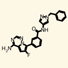 Nc1ncnn2c(-c3cccc(C(=O)Nc4cnn(Cc5ccccc5)c4)c3)c(F)cc12